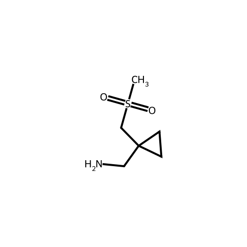 CS(=O)(=O)CC1(CN)CC1